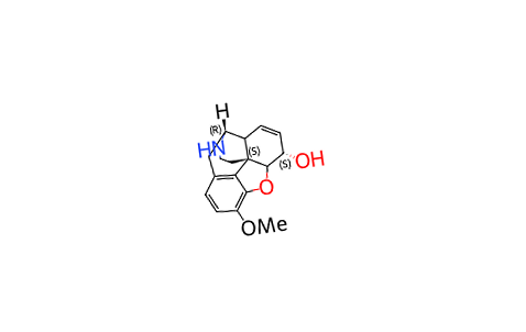 COc1ccc2c3c1OC1[C@@H](O)C=CC4[C@@H](C2)NCC[C@]314